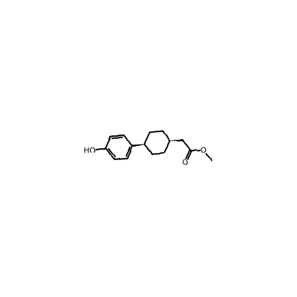 COC(=O)C[C@H]1CC[C@@H](c2ccc(O)cc2)CC1